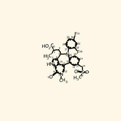 C[C@H](CC1c2c[nH]c3c(=O)n(C)cc(c23)-c2cc(CS(C)(=O)=O)ccc2N1c1ccc(F)cc1F)C(=O)O